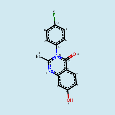 CCc1nc2cc(O)ccc2c(=O)n1-c1ccc(F)cc1